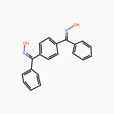 ON=C(c1ccccc1)c1ccc(C(=NO)c2ccccc2)cc1